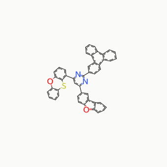 c1ccc2c(c1)Oc1cccc(-c3cc(-c4ccc5oc6ccccc6c5c4)nc(-c4ccc5c6ccccc6c6ccccc6c5c4)n3)c1S2